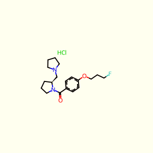 Cl.O=C(c1ccc(OCCCF)cc1)N1CCC[C@H]1CN1CCCC1